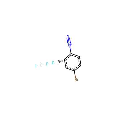 N#[N+]c1ccc(Br)cc1.[B+3].[F-].[F-].[F-].[F-]